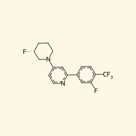 Fc1cc(-c2cc(N3CCC[C@@H](F)C3)ccn2)ccc1C(F)(F)F